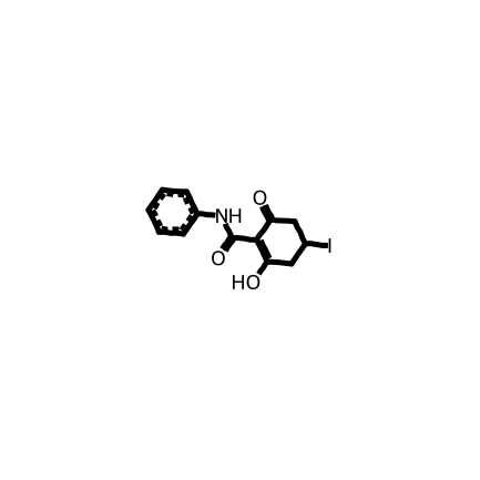 O=C1CC(I)CC(O)=C1C(=O)Nc1ccccc1